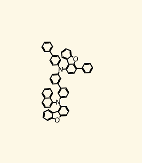 c1ccc(-c2ccc(N(c3cccc(-c4cccc(N(c5cccc6ccccc56)c5cccc6oc7ccccc7c56)c4)c3)c3ccc(-c4ccccc4)c4oc5ccccc5c34)cc2)cc1